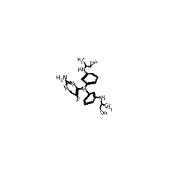 CC(CO)Nc1cccc(N(c2cccc(NC(C)CO)c2)c2nc(N)ncc2F)c1